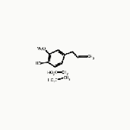 C=CCc1ccc(O)c(OC)c1.CC(=O)O.CC(=O)O